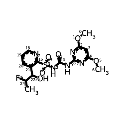 COc1cc(OC)nc(NC(=O)NS(=O)(=O)c2ncccc2C(O)C(C)F)n1